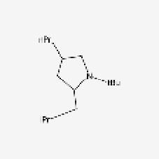 CCCC1CC(CC(C)C)N(C(C)(C)C)C1